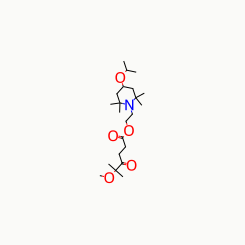 COC(C)(C)C(=O)CCC(=O)OCCN1C(C)(C)CC(OC(C)C)CC1(C)C